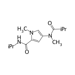 CC(C)NC(=O)c1cc(N(C)C(=O)C(C)C)cn1C